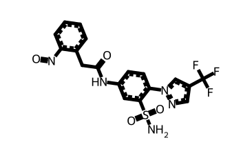 NS(=O)(=O)c1cc(NC(=O)Cc2ccccc2N=O)ccc1-n1cc(C(F)(F)F)cn1